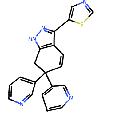 C1=CC(c2cccnc2)(c2cccnc2)Cc2[nH]nc(-c3cncs3)c21